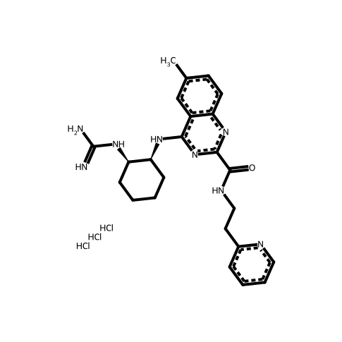 Cc1ccc2nc(C(=O)NCCc3ccccn3)nc(N[C@H]3CCCC[C@H]3NC(=N)N)c2c1.Cl.Cl.Cl